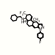 C[C@]12Cc3cnn(-c4ccc(F)cc4)c3C=C1CC[C@H]1C2=CC[C@@H](C(F)(F)F)[C@@H]1NCC1CCCCC1